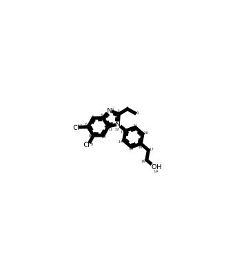 CCc1nc2cc(Cl)c(Cl)cc2n1-c1ccc(CCO)cc1